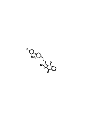 O=C1c2ccccc2C(=O)c2c1n[n+]([O-])n2CCCN1CCN(c2ccc(F)cc2[N+](=O)[O-])CC1